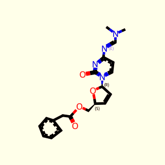 CN(C)/C=N/c1ccn([C@H]2C=C[C@@H](COC(=O)Cc3ccccc3)O2)c(=O)n1